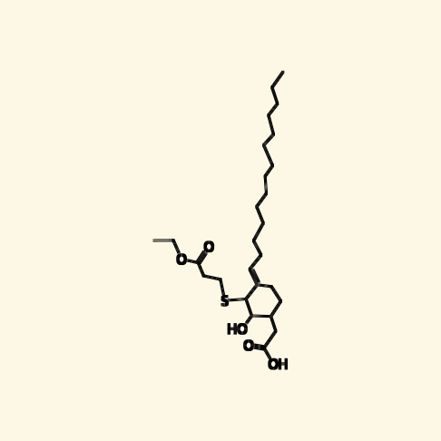 CCCCCCCCCCCCCC=C1CCC(CC(=O)O)C(O)C1SCCC(=O)OCC